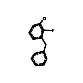 Fc1c(Cc2ccccc2)[c]ccc1Cl